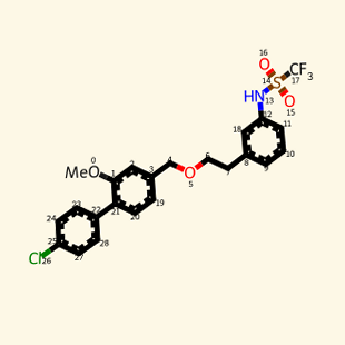 COc1cc(COCCc2cccc(NS(=O)(=O)C(F)(F)F)c2)ccc1-c1ccc(Cl)cc1